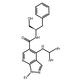 CCCC(CCC)Nc1c(C(=O)N[C@@H](CO)Cc2ccccc2)cnc2c1cnn2CC